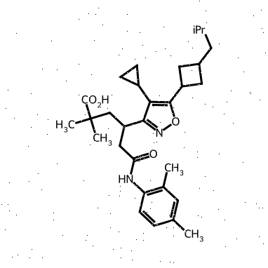 Cc1ccc(NC(=O)CC(CC(C)(C)C(=O)O)c2noc(C3CC(CC(C)C)C3)c2C2CC2)c(C)c1